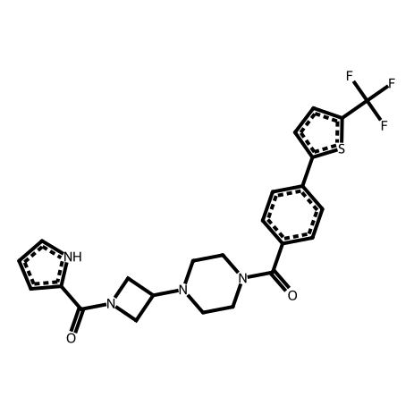 O=C(c1ccc(-c2ccc(C(F)(F)F)s2)cc1)N1CCN(C2CN(C(=O)c3ccc[nH]3)C2)CC1